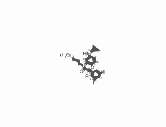 COCCCN1C(=O)C(C)(c2cc(F)cc(F)c2)Oc2ccc(NC3CC3)cc21